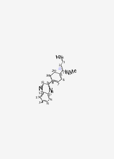 CN/C(=C\C=N)C1=CC=C(c2cnc3ccccc3n2)CC1